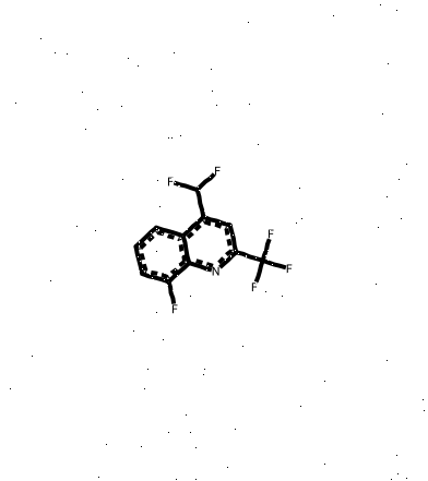 Fc1cccc2c(C(F)F)cc(C(F)(F)F)nc12